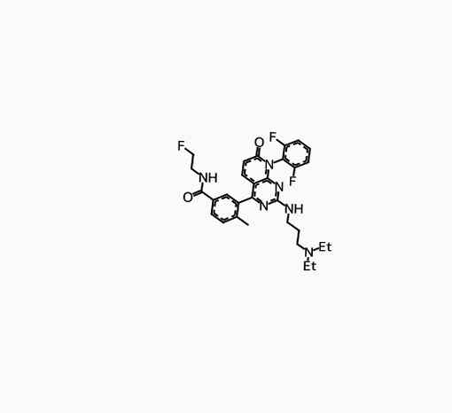 CCN(CC)CCCNc1nc(-c2cc(C(=O)NCCF)ccc2C)c2ccc(=O)n(-c3c(F)cccc3F)c2n1